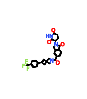 O=C1CCC(N2Cc3cc(C(=O)N4CC5(C=C(c6ccc(C(F)(F)F)cc6)C5)C4)ccc3C2=O)C(=O)N1